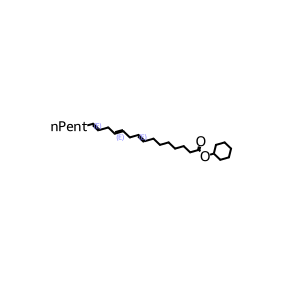 CCCCC/C=C/C/C=C/C/C=C/CCCCCCC(=O)OC1CCCCC1